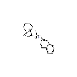 O=C(O)[C@]1(C/C=C/c2ccc3ccccc3c2)CCCOC1=O